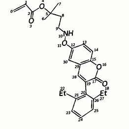 C=CC(=O)OC(C)(C)CCNOc1ccc2oc(=O)c(-c3c(CC)cccc3CC)cc2c1